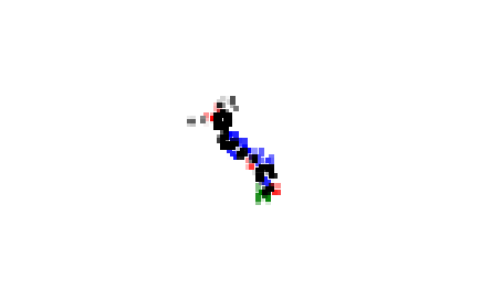 COc1ccc(-c2ccc3ncc(NC(=O)NC4CCN(C(=O)C(F)(F)F)CC4)nc3n2)cc1OC